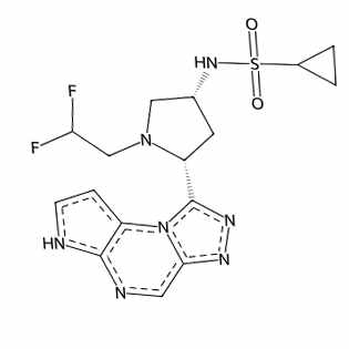 O=S(=O)(N[C@@H]1C[C@H](c2nnc3cnc4[nH]ccc4n23)N(CC(F)F)C1)C1CC1